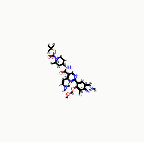 COCOc1c(-c2ncc(C(=O)NC3CCN(C(=O)OC(C)(C)C)C(C)C3)c(/C=C\N(C)C)n2)cc2cn(C)nc2c1C